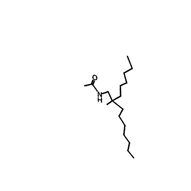 CCCCCCCC(C)(CCCCCC)CNC(C)=O